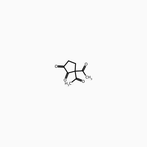 CC(=O)C1(C(C)=O)CCC(=O)C1=O